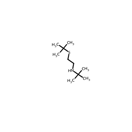 CC(C)(C)NCCSC(C)(C)C